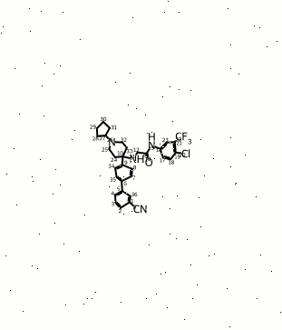 N#Cc1cccc(-c2ccc(C3(NCC(=O)Nc4ccc(Cl)c(C(F)(F)F)c4)CCN(C4CCCC4)CC3)cc2)c1